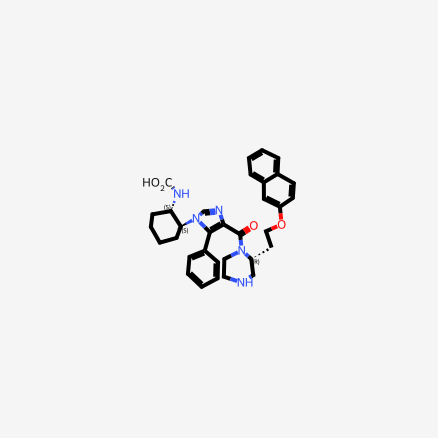 O=C(O)N[C@H]1CCCC[C@@H]1n1cnc(C(=O)N2CCNC[C@H]2CCOc2ccc3ccccc3c2)c1-c1ccccc1